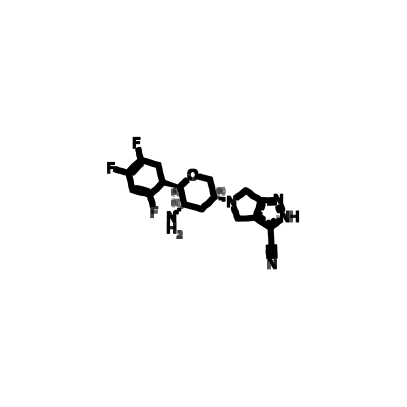 N#Cc1[nH]nc2c1CN([C@H]1CO[C@H](C3CC(F)=C(F)C=C3F)[C@@H](N)C1)C2